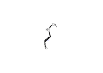 CN/C=C/Cl